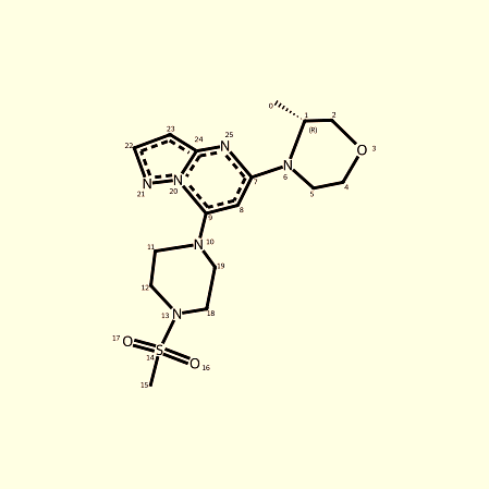 C[C@@H]1COCCN1c1cc(N2CCN(S(C)(=O)=O)CC2)n2nccc2n1